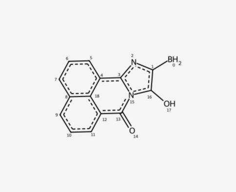 Bc1nc2c3cccc4cccc(c(=O)n2c1O)c43